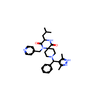 Cc1n[nH]c(C)c1C(c1ccccc1)N1CCC2(CC1)C(=O)NC(CC(C)C)C(=O)N2Cc1ccncc1